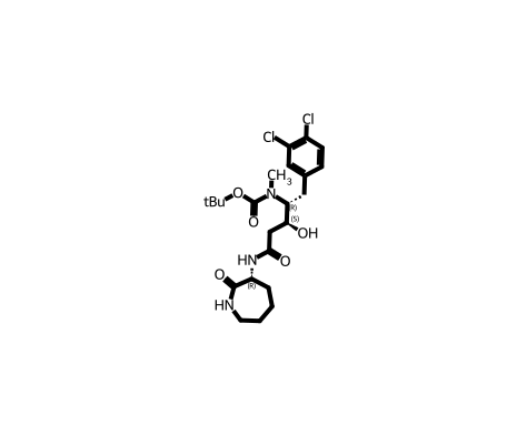 CN(C(=O)OC(C)(C)C)[C@H](Cc1ccc(Cl)c(Cl)c1)[C@@H](O)CC(=O)N[C@@H]1CCCCNC1=O